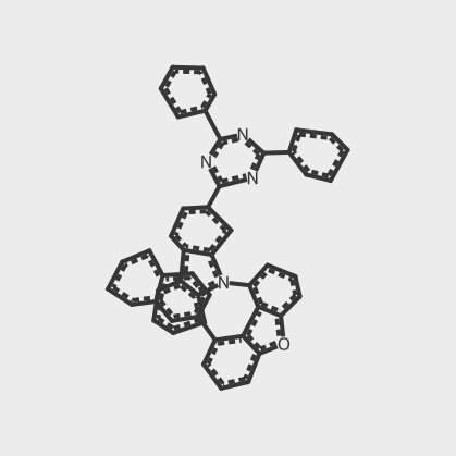 c1ccc(-c2nc(-c3ccccc3)nc(-c3ccc4c5ccccc5n(-c5cccc6oc7cccc(-c8ccc9ccccc9c8)c7c56)c4c3)n2)cc1